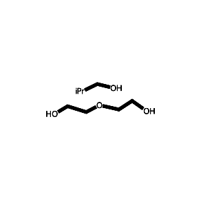 CC(C)CO.OCCOCCO